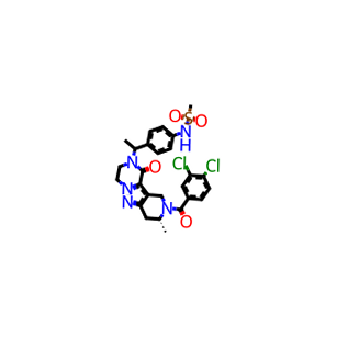 CC(c1ccc(NS(C)(=O)=O)cc1)N1CCn2nc3c(c2C1=O)CN(C(=O)c1ccc(Cl)c(Cl)c1)[C@H](C)C3